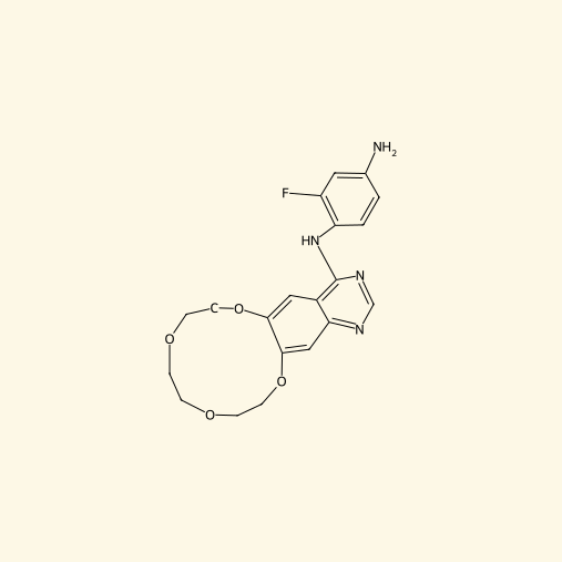 Nc1ccc(Nc2ncnc3cc4c(cc23)OCCOCCOCCO4)c(F)c1